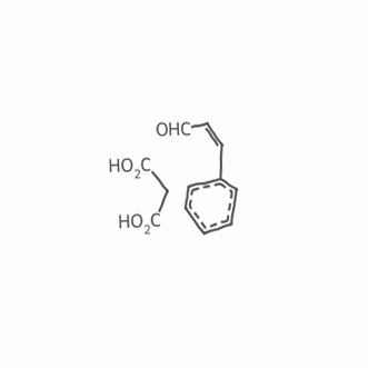 O=C(O)CC(=O)O.O=C/C=C\c1ccccc1